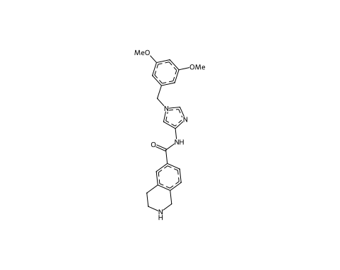 COc1cc(Cn2cnc(NC(=O)c3ccc4c(c3)CCNC4)c2)cc(OC)c1